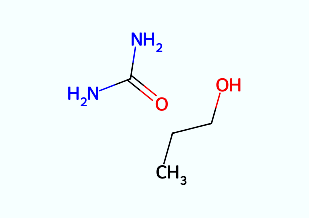 CCCO.NC(N)=O